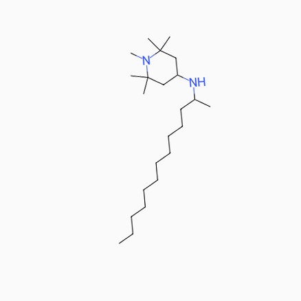 CCCCCCCCCCCC(C)NC1CC(C)(C)N(C)C(C)(C)C1